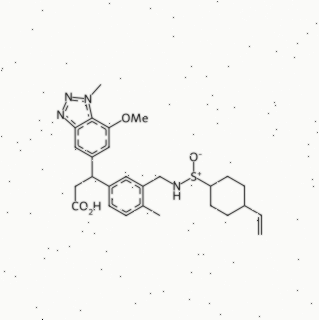 C=CC1CCC([S+]([O-])NCc2cc(C(CC(=O)O)c3cc(OC)c4c(c3)nnn4C)ccc2C)CC1